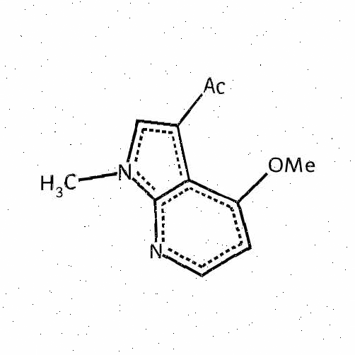 COc1ccnc2c1c(C(C)=O)cn2C